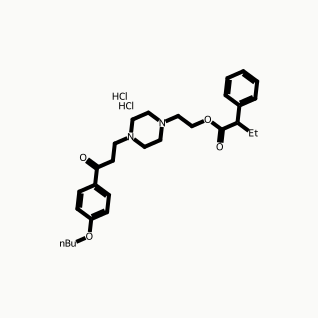 CCCCOc1ccc(C(=O)CCN2CCN(CCOC(=O)C(CC)c3ccccc3)CC2)cc1.Cl.Cl